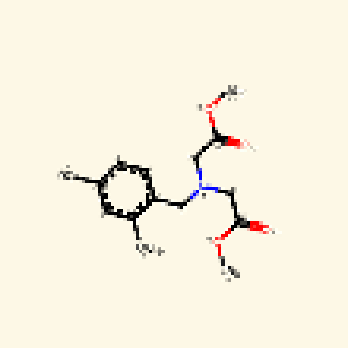 COc1cc(C#N)ccc1CN(CC(=O)OC(C)(C)C)CC(=O)OC(C)(C)C